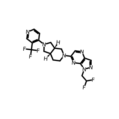 FC(F)Cn1ncc2ncc(N3CC[C@@H]4CN(c5ccncc5C(F)(F)F)C[C@@H]4C3)nc21